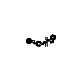 O=C(NCCN1CCC(COc2ccccc2)CC1)N1CCc2ccccc21